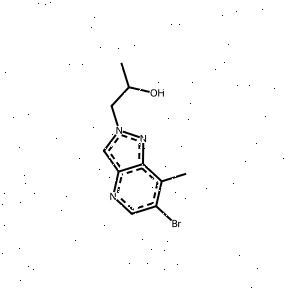 Cc1c(Br)cnc2cn(CC(C)O)nc12